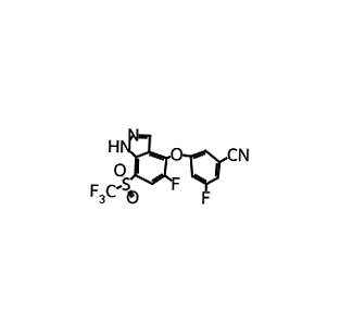 N#Cc1cc(F)cc(Oc2c(F)cc(S(=O)(=O)C(F)(F)F)c3[nH]ncc23)c1